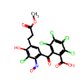 COC(=O)CCc1cc(C(=O)c2c(Cl)c(Cl)c(Cl)c(Cl)c2C(=O)O)c(N=O)c(Cl)c1O